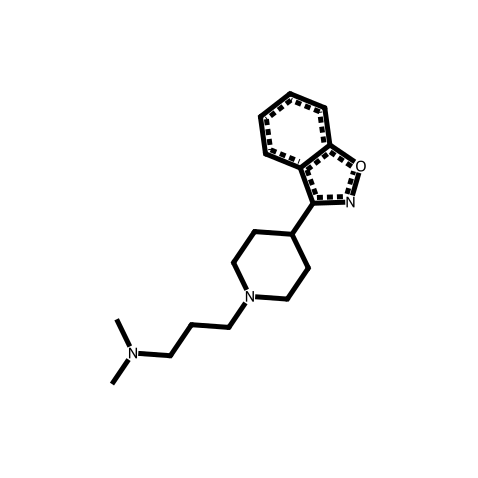 CN(C)CCCN1CCC(c2noc3ccccc23)CC1